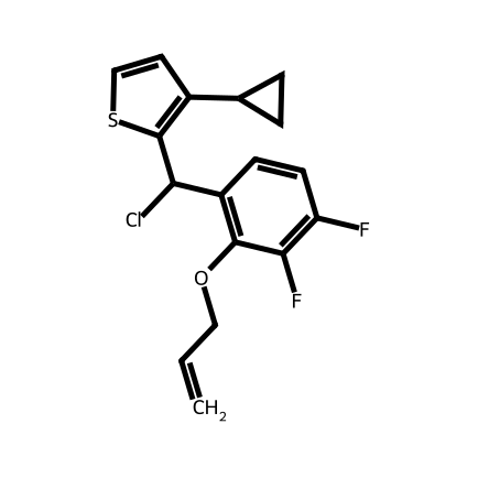 C=CCOc1c(C(Cl)c2sccc2C2CC2)ccc(F)c1F